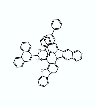 c1ccc(-c2ccc(C3=NC(c4cc5ccccc5c5ccccc45)NC(c4c(-n5c6cc7ccccc7cc6c6cc7ccccc7cc65)ccc5c4oc4ccccc45)=N3)cc2)cc1